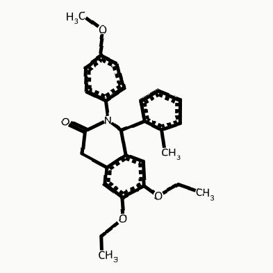 CCOc1cc2c(cc1OCC)C(c1ccccc1C)N(c1ccc(OC)cc1)C(=O)C2